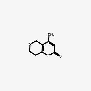 Cc1cc(=O)oc2c1CSCC2